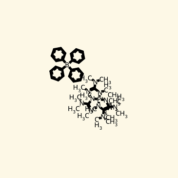 CN=C(N(C)C)N(C)[P+](N(C)C(=NC)N(C)C)(N(C)C(=NC)N(C)C)N(C)C(=NC)N(C)C.c1ccc([B-](c2ccccc2)(c2ccccc2)c2ccccc2)cc1